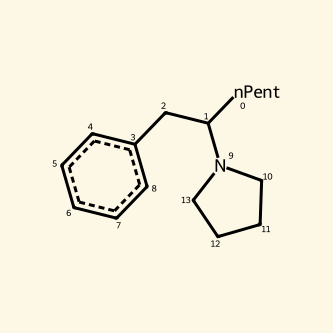 CCCCCC(Cc1ccccc1)N1CCCC1